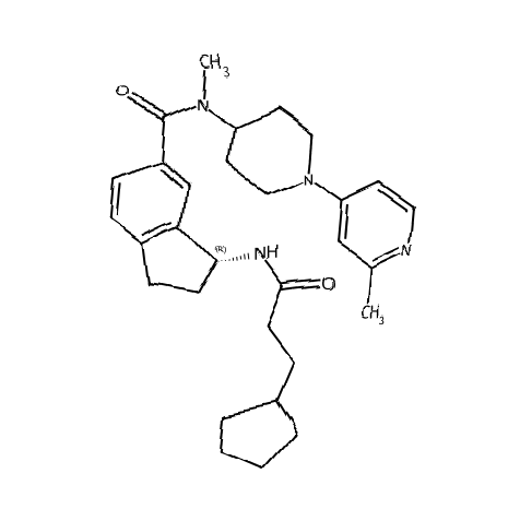 Cc1cc(N2CCC(N(C)C(=O)c3ccc4c(c3)[C@H](NC(=O)CCC3CCCC3)CC4)CC2)ccn1